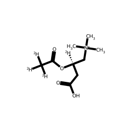 [2H]C([2H])([2H])C(=O)O[C@]([2H])(CC(=O)O)C[N+](C)(C)C